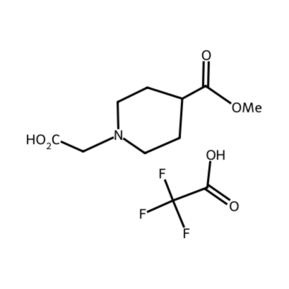 COC(=O)C1CCN(CC(=O)O)CC1.O=C(O)C(F)(F)F